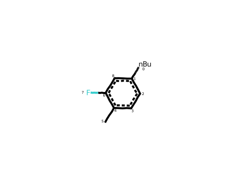 [CH2]CCCc1ccc(C)c(F)c1